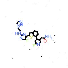 NC(=O)Cc1cnc(F)cc1-c1cccc2c1SC(c1nc(NCCN3CCN=N3)ncc1F)C2